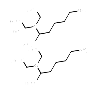 NCCCCC(C(=O)O)N(CC(=O)[O-])CC(=O)O.NCCCCC(C(=O)O)N(CC(=O)[O-])CC(=O)O.[Ni+2]